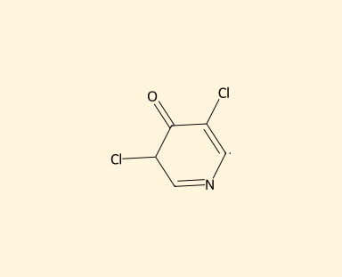 O=C1C(Cl)=[C]N=CC1Cl